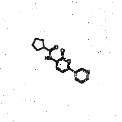 O=C(Nc1ccc(-c2cccnc2)oc1=O)C1CCCC1